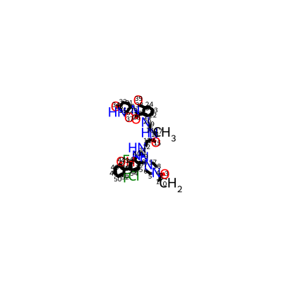 C=CC(=O)N1CCN(c2nc(NCCC(=O)N(C)CCNc3cccc4c3C(=O)N(C3CCC(=O)NC3=O)C4=O)nc3c(F)c(-c4c(O)cccc4F)c(Cl)cc23)CC1